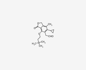 Cc1c2c(c(OCC[Si](C)(C)C)c(CC=O)c1C1CC1)C(=O)OC2